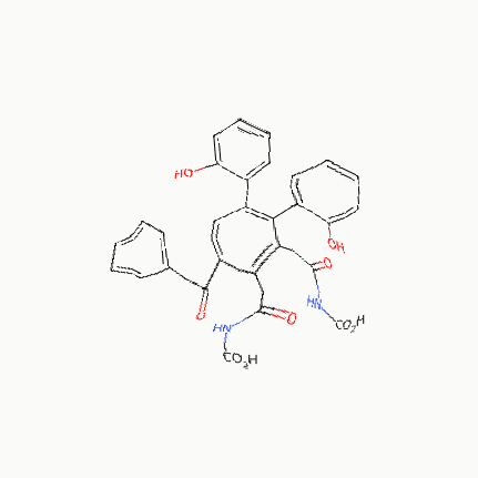 O=C(O)NC(=O)c1c(C(=O)c2ccccc2)cc(-c2ccccc2O)c(-c2ccccc2O)c1C(=O)NC(=O)O